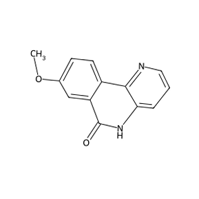 COc1ccc2c(c1)c(=O)[nH]c1cccnc12